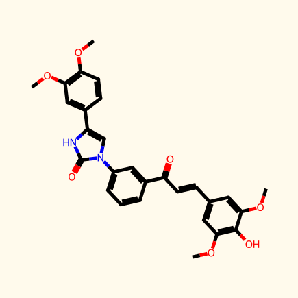 COc1ccc(-c2cn(-c3cccc(C(=O)C=Cc4cc(OC)c(O)c(OC)c4)c3)c(=O)[nH]2)cc1OC